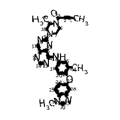 CC#CC(=O)N1CCN(c2ncc3ncnc(Nc4ccc(Oc5ccc6c(c5)ncn6C)c(C)c4)c3n2)CC1C